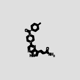 C[C@H]1CC[C@H](C(=O)N2CCN(c3cnc4[nH]cc(/C=C/C(N)=O)c4n3)CC2)CC1